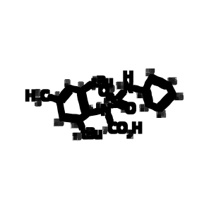 Cc1cc(C(C)(C)C)c(N(C(=O)O)S(=O)(=O)Nc2ccccc2)c(C(C)(C)C)c1